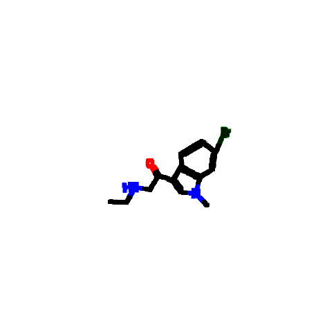 CCNCC(=O)c1cn(C)c2cc(Br)ccc12